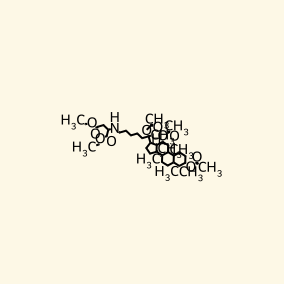 CCOC(=O)CC(NCCCCCC(C)(OC(C)=O)C1CC[C@]2(C)[C@@H]1C(OC(C)=O)CC1[C@@]3(C)CC[C@H](OC(C)=O)C(C)(C)C3CC[C@]12C)C(=O)OCC